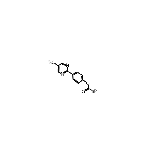 CCCC(=O)Oc1ccc(-c2ncc(C#N)cn2)cc1